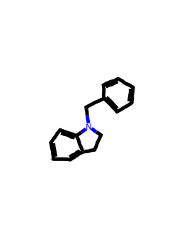 [c]1ccc2c(c1)CCN2Cc1ccccc1